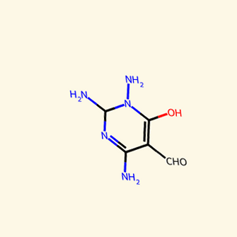 NC1=NC(N)N(N)C(O)=C1C=O